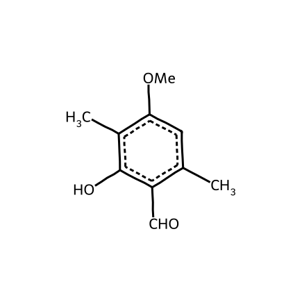 COc1cc(C)c(C=O)c(O)c1C